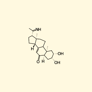 CC(=N)[C@H]1CC[C@H]2C3=CC(=O)[C@@H]4C[C@@H](O)[C@@H](O)C[C@]4(C)C3CC[C@]12C